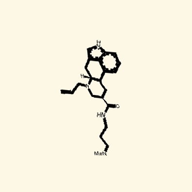 C=CCN1C[C@H](C(=O)NCCCNC)CC2c3cccc4[nH]cc(c34)C[C@H]21